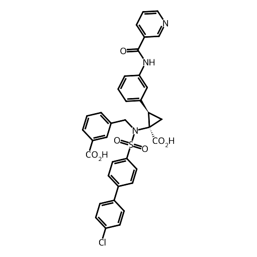 O=C(O)c1cccc(CN([C@]2(C(=O)O)C[C@@H]2c2cccc(NC(=O)c3cccnc3)c2)S(=O)(=O)c2ccc(-c3ccc(Cl)cc3)cc2)c1